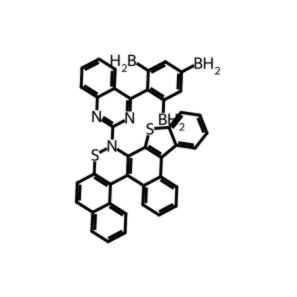 Bc1cc(B)c(-c2nc(N3Sc4ccc5ccccc5c4-c4c3c3sc5ccccc5c3c3ccccc43)nc3ccccc23)c(B)c1